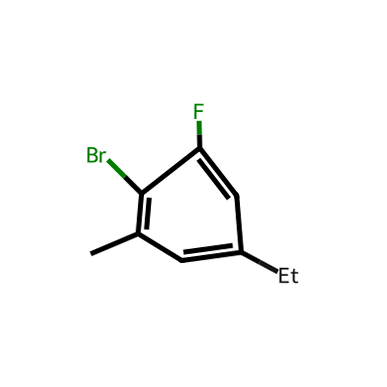 CCc1cc(C)c(Br)c(F)c1